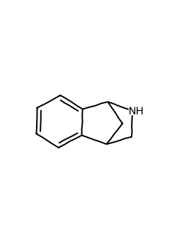 c1ccc2c(c1)C1CNC2C1